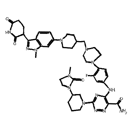 CN1CCN(C2CCCN(c3nnc(C(N)=O)c(Nc4ccc(N5CCN(CC6CCN(c7ccc8c(C9CCC(=O)NC9=O)nn(C)c8c7)CC6)CC5)c(F)c4)n3)C2)C1=O